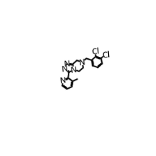 Cc1cccnc1-c1nnc2n1CCN(Cc1cccc(Cl)c1Cl)C2